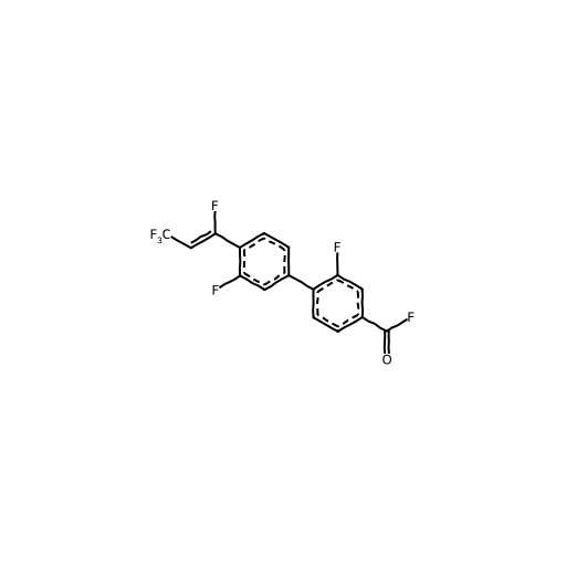 O=C(F)c1ccc(-c2ccc(/C(F)=C/C(F)(F)F)c(F)c2)c(F)c1